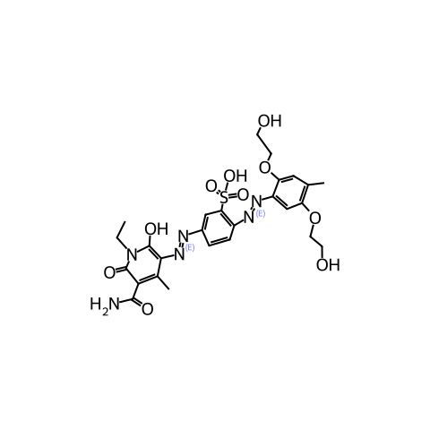 CCn1c(O)c(/N=N/c2ccc(/N=N/c3cc(OCCO)c(C)cc3OCCO)c(S(=O)(=O)O)c2)c(C)c(C(N)=O)c1=O